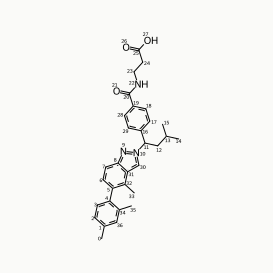 Cc1ccc(-c2ccc3nn(C(CC(C)C)c4ccc(C(=O)NCCC(=O)O)cc4)cc3c2C)c(C)c1